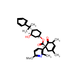 COc1ccc([C@@]2(C(=O)O[C@@H]3CC[C@@H](C(C)(C)c4ccccc4)[C@H](O)C3)CC(C)=CC(C)C2=O)c(C)n1